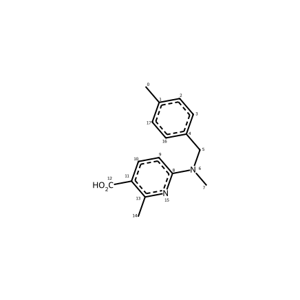 Cc1ccc(CN(C)c2ccc(C(=O)O)c(C)n2)cc1